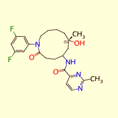 Cc1nccc(C(=O)NC2CCC(=O)N(c3cc(F)cc(F)c3)CCCC[C@](C)(O)C2)n1